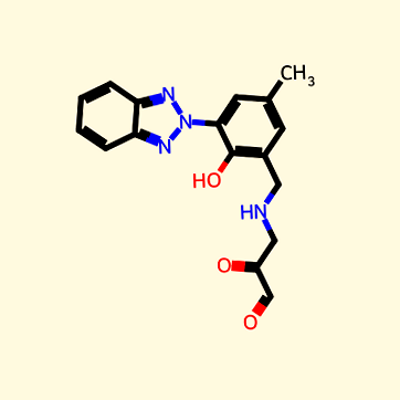 Cc1cc(CNCC(=O)C=O)c(O)c(-n2nc3ccccc3n2)c1